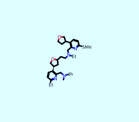 CCc1ccc([C@H]2COC(CCN(CC)Cc3nc(SC)ccc3C3CCOC3)C2)c(CN(C)C(C)C)n1